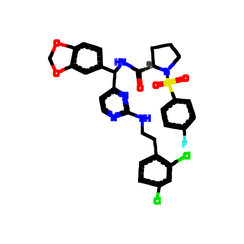 O=C(NC(c1ccc2c(c1)OCO2)c1ccnc(NCCc2ccc(Cl)cc2Cl)n1)[C@@H]1CCCN1S(=O)(=O)c1ccc(F)cc1